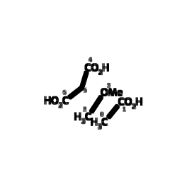 CC(=O)O.COC.O=C(O)CC(=O)O